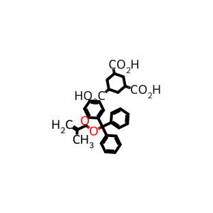 C=C(C)C(=O)OC(c1ccccc1)(c1ccccc1)c1ccccc1.O=C(O)C1CC(C(=O)O)CC(C(=O)O)C1